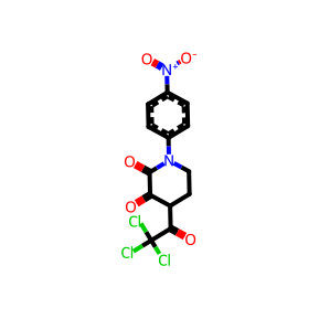 O=C1C(=O)N(c2ccc([N+](=O)[O-])cc2)CCC1C(=O)C(Cl)(Cl)Cl